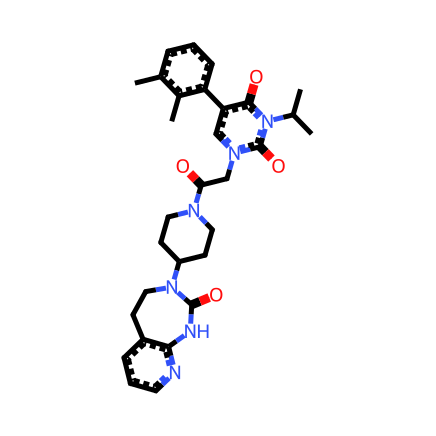 Cc1cccc(-c2cn(CC(=O)N3CCC(N4CCc5cccnc5NC4=O)CC3)c(=O)n(C(C)C)c2=O)c1C